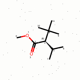 COC(=O)[C@H](C(C)C)C(C)(C)C